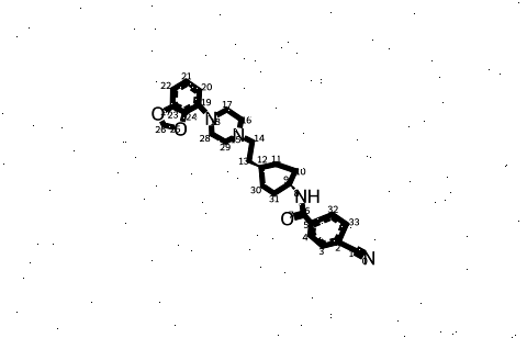 N#Cc1ccc(C(=O)N[C@H]2CC[C@H](CCN3CCN(c4cccc5c4OCO5)CC3)CC2)cc1